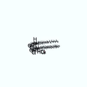 CCCCCCCCCCCCCCCCCCCNc1ccc(C(=O)Cl)cc1.CCCCCCCCCCCCCCCCCCNc1ccc(C(=O)Cl)cc1.Cl.Cl